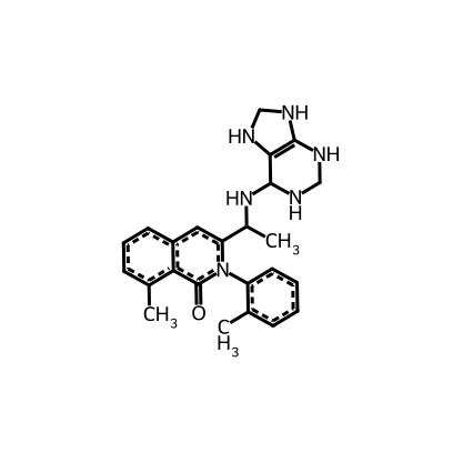 Cc1ccccc1-n1c(C(C)NC2NCNC3=C2NCN3)cc2cccc(C)c2c1=O